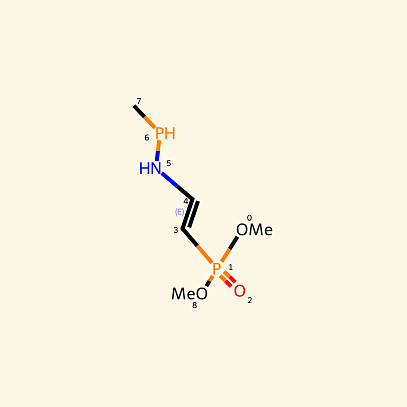 COP(=O)(/C=C/NPC)OC